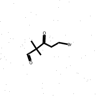 CC(C)([C]=O)C(=O)CCBr